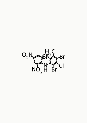 Cc1c(Br)c(Cl)c(Br)c(Nc2c([N+](=O)[O-])cc([N+](=O)[O-])cc2C(F)(F)F)c1Br